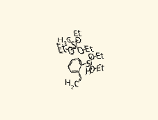 C=Cc1ccccc1[SiH](OCC)OCC.CCO[Si](C)(OCC)OCC